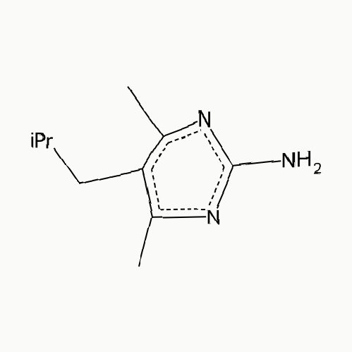 Cc1nc(N)nc(C)c1CC(C)C